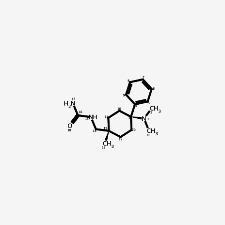 CN(C)[C@]1(c2ccccc2)CC[C@@](C)(CNC(N)=O)CC1